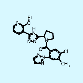 CCOc1ncccc1-c1nnc(C2CCCN2C(=O)c2cc(Cl)c(C)cc2-n2nccn2)[nH]1